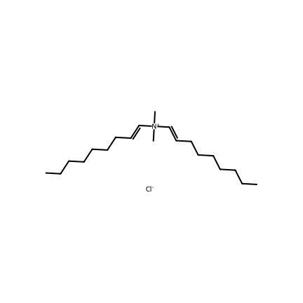 CCCCCCCC=C[N+](C)(C)C=CCCCCCCC.[Cl-]